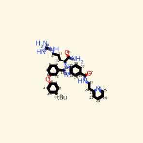 CC(C)(C)c1ccc(Oc2cccc(-c3nc4cc(C(=O)NCCc5ccccn5)ccc4n3[C@@H](CCCNC(=N)N)C(N)=O)c2)cc1